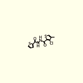 Cc1csc(C(=O)NNC(=O)c2cccs2)c1Cl